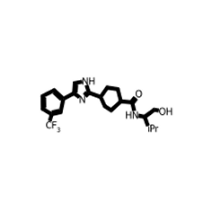 CC(C)C(CO)NC(=O)C1CCC(c2nc(-c3cccc(C(F)(F)F)c3)c[nH]2)CC1